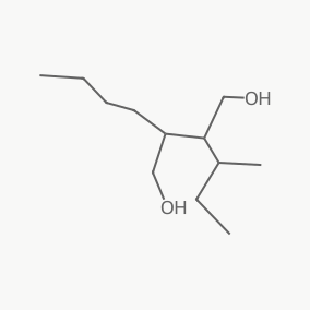 CCCCC(CO)C(CO)C(C)CC